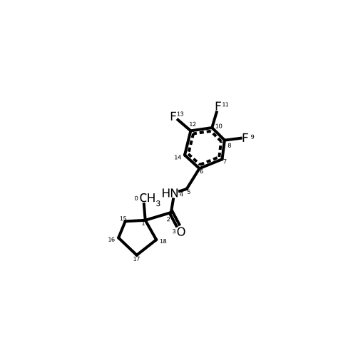 CC1(C(=O)NCc2cc(F)c(F)c(F)c2)CCCC1